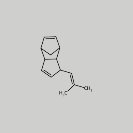 CC(C)=CC1C=CC2C3C=CC(C3)C12